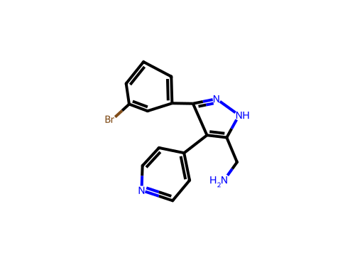 NCc1[nH]nc(-c2cccc(Br)c2)c1-c1ccncc1